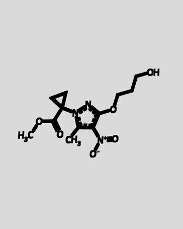 COC(=O)C1(n2nc(OCCCO)c([N+](=O)[O-])c2C)CC1